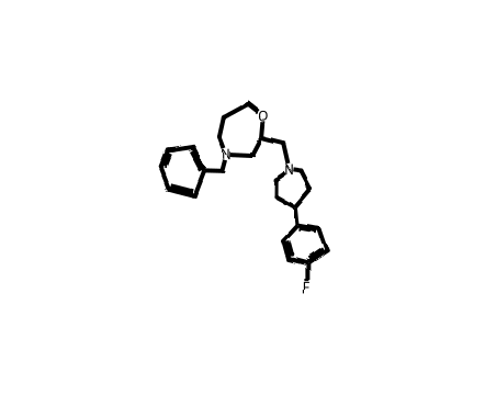 Fc1ccc(C2CCN(CC3CN(Cc4ccccc4)CCCO3)CC2)cc1